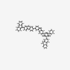 CC1(C)c2ccccc2-c2ccc(C3NC(c4ccccc4)=NC(c4ccc5c(c4)oc4ccc(-c6ccc7c(c6)sc6cc(-n8c9ccccc9c9ccccc98)ccc67)cc45)N3)cc21